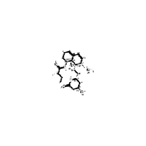 CC[C@H](C)C(=O)O[C@H]1CCC=C2C=C[C@H](C)[C@H](CC[C@@H]3C[C@@H](O)CC(=O)O3)[C@H]21.N